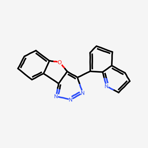 c1cnc2c(-c3nnnc4c3oc3ccccc34)cccc2c1